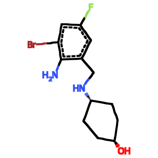 Nc1c(Br)cc(F)cc1CN[C@H]1CC[C@H](O)CC1